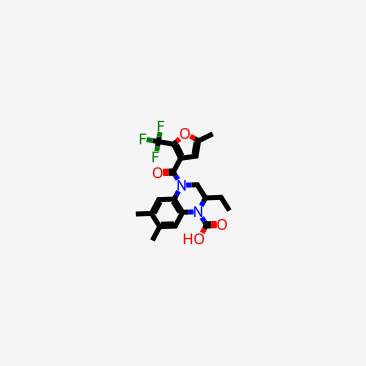 CCC1CN(C(=O)c2cc(C)oc2C(F)(F)F)c2cc(C)c(C)cc2N1C(=O)O